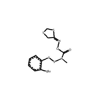 CN(SSc1ccccc1C(C)(C)C)C(=O)ON=C1CSCS1